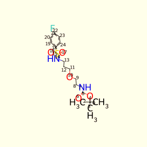 CC(C)(C)OC(=O)NCCOCCCNS(=O)(=O)c1ccc(F)cc1